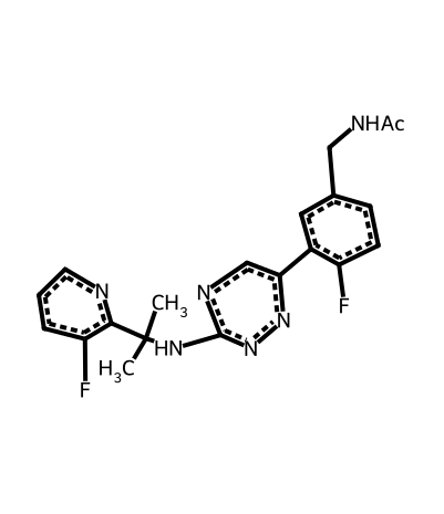 CC(=O)NCc1ccc(F)c(-c2cnc(NC(C)(C)c3ncccc3F)nn2)c1